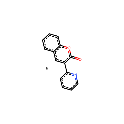 O=c1oc2ccccc2cc1-c1ccccn1.[Ir]